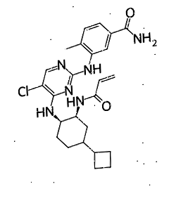 C=CC(=O)N[C@H]1CC(C2CCC2)CC[C@H]1Nc1nc(Nc2cc(C(N)=O)ccc2C)ncc1Cl